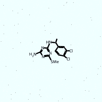 CSc1nc(N)nc(NC(C)c2ccc(Cl)c(Cl)c2)n1